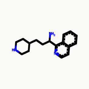 NC(CCC1CCNCC1)c1nccc2ccccc12